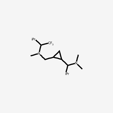 CC(C)C(C1CC1CN(C)C(C(C)C)C(F)(F)F)N(C)C